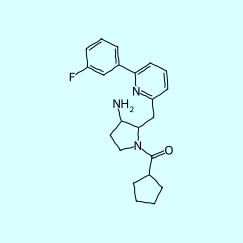 NC1CCN(C(=O)C2CCCC2)C1Cc1cccc(-c2cccc(F)c2)n1